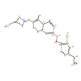 CC1=C(CN2CC(C(=O)O)C2)CCc2cc(OCc3ccc(CC(C)C)cc3Cl)ccc21